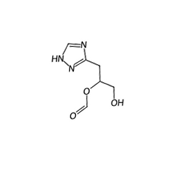 O=COC(CO)Cc1nc[nH]n1